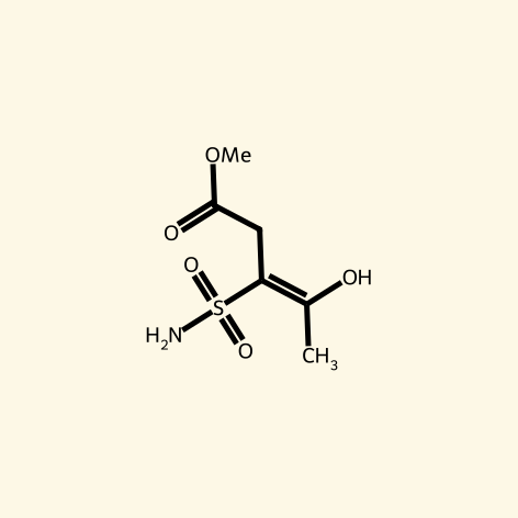 COC(=O)C/C(=C(/C)O)S(N)(=O)=O